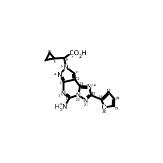 Nc1nc2nn(C(C(=O)O)C3CC3)cc2c2nc(-c3ccco3)nn12